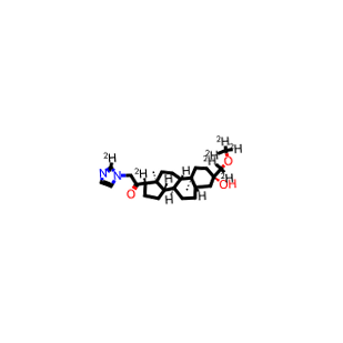 [2H]c1nccn1CC(=O)[C@@]1([2H])CC[C@H]2[C@@H]3CC[C@H]4C[C@@](O)(C([2H])([2H])OC([2H])([2H])[2H])CC[C@]4(C)[C@H]3CC[C@@]21C